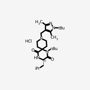 CCCCN1C(=O)[C@H](CC(C)C)NC(=O)C12CCN(Cc1c(C)nn(C(C)(C)C)c1C)CC2.Cl